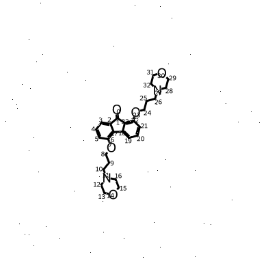 O=C1c2cccc(OCCCN3CCOCC3)c2-c2cccc(OCCCN3CCOCC3)c21